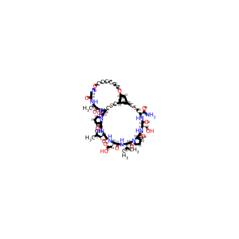 CC(C)C[C@H]1NC(=O)[C@@H]2CCCN2C(=O)[C@@H]2CSCc3cc(cc(c3)OCCCCCCO/N=C/C(=O)N[C@@H](C)C(=O)N2)CSC[C@@H](C(N)=O)NC(=O)[C@H](CO)NC(=O)[C@@H]2CCCN2C(=O)[C@H](C(C)C)NC(=O)[C@H](CC(=O)O)NC1=O